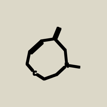 C=C1/C=C\CCCCN(C)C1